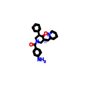 Nc1ccc(C(=O)N2C/C(=C/c3ccccn3)C(=O)C(c3ccccc3)C2)cc1